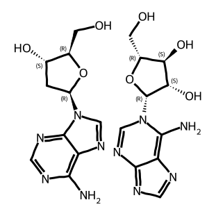 Nc1c2ncnc-2ncn1[C@@H]1O[C@H](CO)[C@@H](O)[C@@H]1O.Nc1ncnc2c1ncn2[C@H]1C[C@H](O)[C@@H](CO)O1